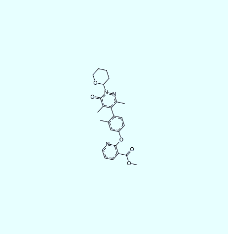 COC(=O)c1cccnc1Oc1ccc(-c2c(C)nn(C3CCCCO3)c(=O)c2C)c(C)c1